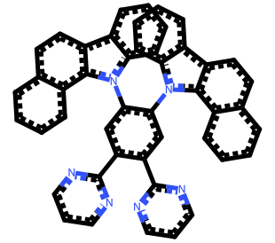 c1cnc(-c2cc(-n3c4ccccc4c4ccc5ccccc5c43)c(-n3c4ccccc4c4ccc5ccccc5c43)cc2-c2ncccn2)nc1